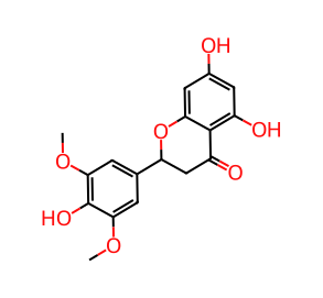 COc1cc(C2CC(=O)c3c(O)cc(O)cc3O2)cc(OC)c1O